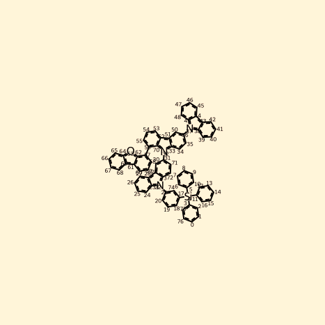 c1ccc([Si](c2ccccc2)(c2ccccc2)c2cccc(-n3c4ccccc4c4cc(-n5c6ccc(-n7c8ccccc8c8ccccc87)cc6c6cccc(-c7cccc8c7oc7ccccc78)c65)ccc43)c2)cc1